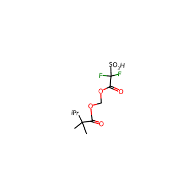 CC(C)C(C)(C)C(=O)OCOC(=O)C(F)(F)S(=O)(=O)O